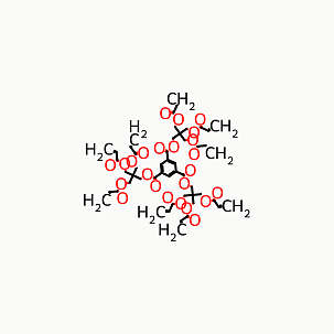 C=CC(=O)OCC(COC(=O)C=C)(COC(=O)C=C)COC(=O)c1cc(C(=O)OCC(COC(=O)C=C)(COC(=O)C=C)COC(=O)C=C)cc(C(=O)OCC(COC(=O)C=C)(COC(=O)C=C)COC(=O)C=C)c1